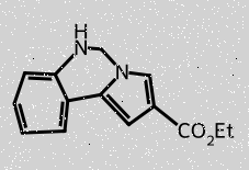 CCOC(=O)c1cc2n(c1)CNc1ccccc1-2